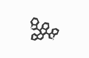 c1ccc2c(c1)ccc1c(-c3csc4ccccc34)c3ccccc3c(-c3csc4ccccc34)c12